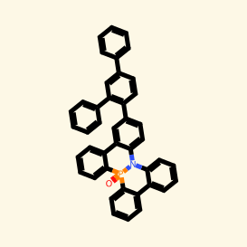 O=P12c3ccccc3-c3ccccc3N1c1ccc(-c3ccc(-c4ccccc4)cc3-c3ccccc3)cc1-c1ccccc12